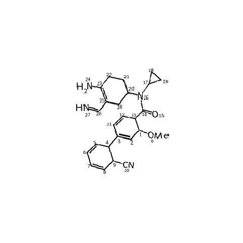 COC1C=C(C2C=CC=CC2C#N)C=CC1C(=O)N(C1CC1)C1CCC(N)=C(C=N)C1